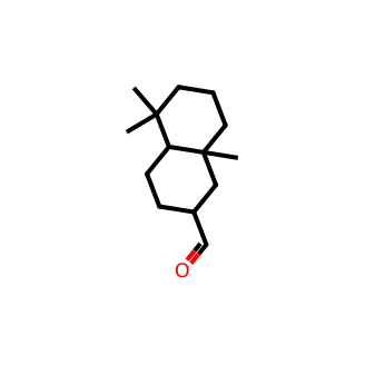 CC1(C)CCCC2(C)CC(C=O)CCC12